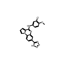 COc1ccc(Nc2nc3cc(-c4nnn[nH]4)ccc3n3cccc23)cc1Cl